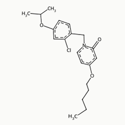 CCCCCOc1ccn(Cc2ccc(OC(C)C)cc2Cl)c(=O)c1